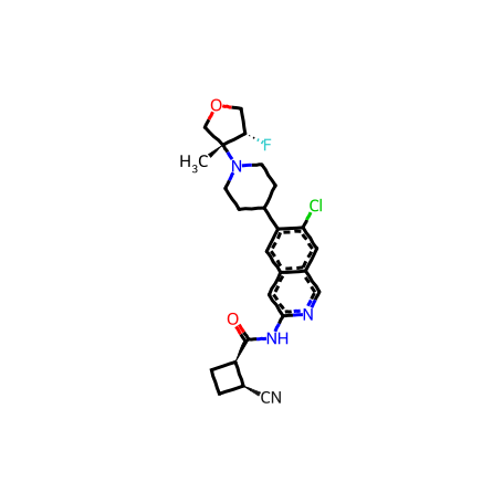 C[C@@]1(N2CCC(c3cc4cc(NC(=O)[C@@H]5CC[C@@H]5C#N)ncc4cc3Cl)CC2)COC[C@@H]1F